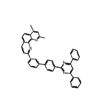 Cc1cc(C)c2ccc3ccc(-c4cccc(-c5ccc(-c6nc(-c7ccccc7)cc(-c7ccccc7)n6)cc5)c4)nc3c2n1